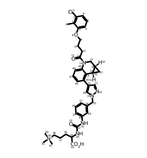 Cc1c(Cl)cccc1OCCCC(=O)N1C[C@@H]2C[C@@H]2c2c(-c3cnn(Cc4cccc(NC(=O)NC(CCC[N+](C)(C)C)C(=O)O)c4)c3)cccc21